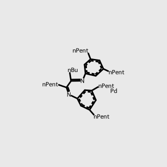 CCCCCC(=Nc1cc(CCCCC)cc(CCCCC)c1)C(CCCC)=Nc1cc(CCCCC)cc(CCCCC)c1.[Pd]